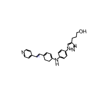 OCCCc1cn(-c2ccc(NC3=CC=C(/C=C/c4ccncc4)CC3)cc2)nn1